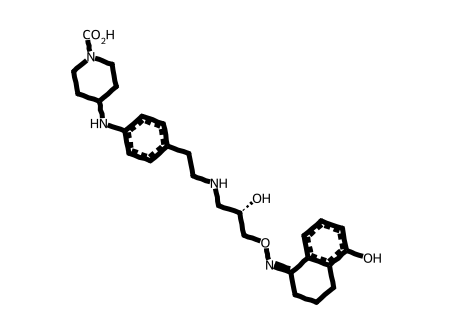 O=C(O)N1CCC(Nc2ccc(CCNC[C@H](O)CO/N=C3/CCCc4c(O)cccc43)cc2)CC1